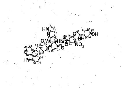 COc1nc2[nH]ccc2cc1Oc1cc(N2CCC3(CC2)CC(N2CCOC[C@H]2c2ccccc2C(C)C)C3)ccc1C(=O)NS(=O)(=O)c1cc2c(c([N+](=O)[O-])c1)N[C@@H](C1CCC(C)(O)CC1)CO2